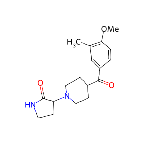 COc1ccc(C(=O)C2CCN(C3CCNC3=O)CC2)cc1C